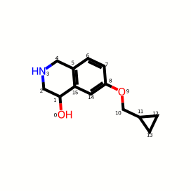 OC1CNCc2ccc(OCC3CC3)cc21